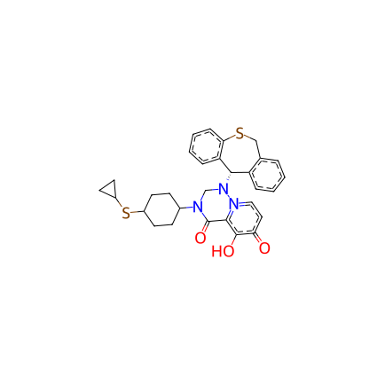 O=C1c2c(O)c(=O)ccn2N([C@H]2c3ccccc3CSc3ccccc32)CN1C1CCC(SC2CC2)CC1